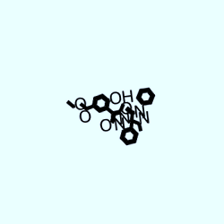 CCOC(=O)c1ccc(O)c(-c2c(C)n3n(c2=O)-c2ccccc2C32C(=O)N(c3ccccc3)N=C2C)c1